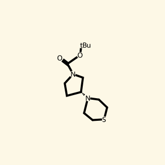 CC(C)(C)OC(=O)N1CC[C@@H](N2CCSCC2)C1